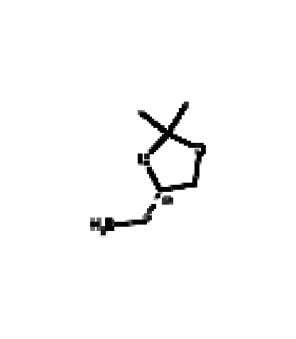 BC[C@H]1COC(C)(C)O1